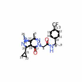 Cc1nn(CC(=O)N[C@@H](C)c2ccc(C(F)(F)F)cc2)c(=O)c2c(C3CC3)nn(C)c12